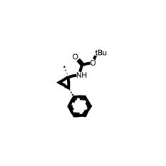 CC(C)(C)OC(=O)N[C@]1(C)C[C@H]1c1ccccc1